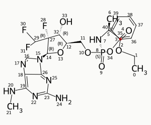 CCOC(=O)[C@H](C)N[P@](=O)(OC[C@H]1O[C@@H](n2cnc3c(NC)nc(N)nc32)[C@@](F)(C(F)F)[C@@H]1O)Oc1ccccc1